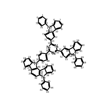 c1ccc(-n2c3ccccc3c3cc(-c4nc(-c5ccc(-n6c7ccccc7c7ccc8c(c9ccccc9n8-c8ccccc8)c76)cc5)nc(-c5ccc6c(c5)c5ccccc5n6-c5ccccc5)n4)ccc32)cc1